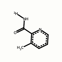 [2H]NC(=O)c1ncccc1C